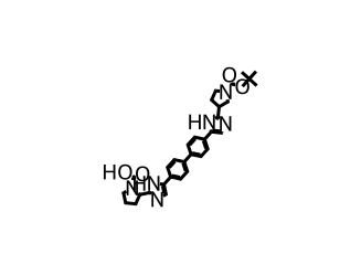 CC(C)(C)OC(=O)N1CCC(c2ncc(-c3ccc(-c4ccc(-c5cnc(C6CCCN6C(=O)O)[nH]5)cc4)cc3)[nH]2)C1